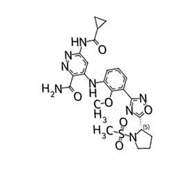 COc1c(Nc2cc(NC(=O)C3CC3)nnc2C(N)=O)cccc1-c1noc([C@@H]2CCCN2S(C)(=O)=O)n1